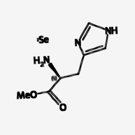 COC(=O)[C@@H](N)Cc1c[nH]cn1.[Se]